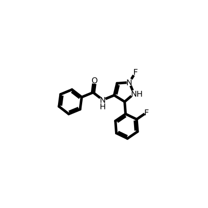 O=C(NC1=CN(F)NC1c1ccccc1F)c1ccccc1